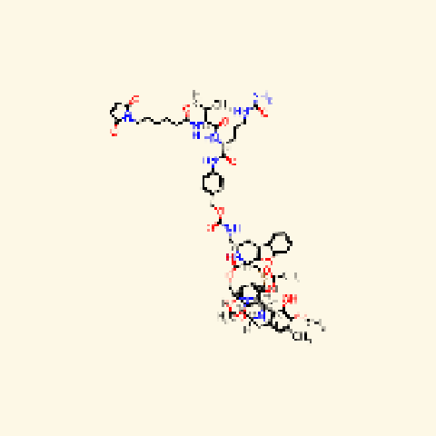 COc1c(C)cc2c(c1O)[C@@H]1[C@@H]3[C@@H]4SC[C@]5(N[C@@H](CNC(=O)OCc6ccc(NC(=O)[C@H](CCCNC(N)=O)NC(=O)[C@@H](NC(=O)CCCCCN7C(=O)C=CC7=O)C(C)C)cc6)Cc6c5oc5ccccc65)C(=O)OC[C@@H](c5c6c(c(C)c(OC(C)=O)c54)OCO6)N3[C@@H](C)[C@@H](C2)N1C